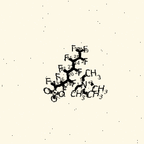 CC[N+](CC)(CC)CC.O=S(=O)([O-])C(F)C(F)(F)C(F)C(F)C(F)C(F)C(F)C(F)F